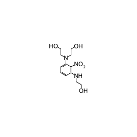 O=[N+]([O-])c1c(NCCO)cccc1N(CCO)CCO